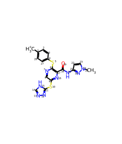 Cc1ccc(Sc2ncc(Sc3nnc[nH]3)nc2C(=O)Nc2ccn(C)n2)cc1